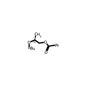 CCCCO[C@@H](C)COC(=O)C(C)C